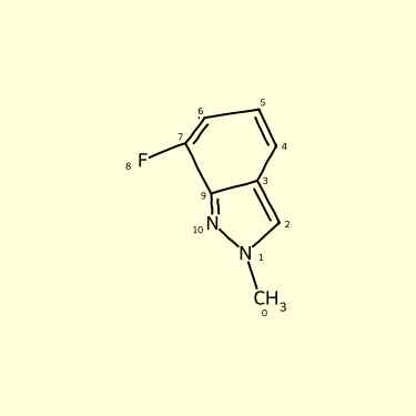 Cn1cc2cc[c]c(F)c2n1